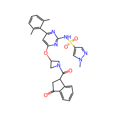 Cc1cccc(C)c1-c1cc(OC2CN(C(=O)C3CC(=O)c4ccccc43)C2)nc(NS(=O)(=O)c2cnn(C)c2)n1